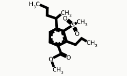 CCCc1c(C(=O)OC)ccc(C(C)CCC)c1S(C)(=O)=O